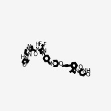 Cc1cn(C2CCC(=O)NC2=O)c2cccc(C#CCOC3CCN(CC4CCC(n5cc(NC(=O)c6cnn7ccc(N8CC9C[C@@H]8CO9)nc67)c(C(F)F)n5)CC4)CC3)c12